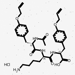 C=CCOc1ccc(C[C@H](NC(=O)[C@@H](CCCCN)NC(=O)[C@H](Cc2ccc(OCC=C)cc2)NC(C)=O)C(=O)O)cc1.Cl